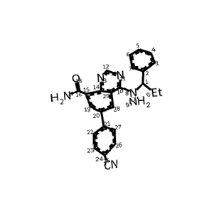 CCC(c1ccccc1)N(N)c1ncnc2c(C(N)=O)cc(-c3ccc(C#N)cc3)cc12